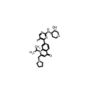 CC(C)n1c(CN2CCCC2)cc(=O)c2ccc(-c3nc(N[C@@H]4CCOC[C@H]4O)ncc3F)cc21